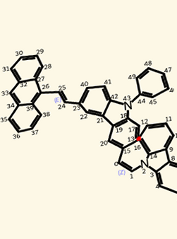 C(=C/n1c2ccccc2c2ccccc21)/c1ccc2c(c1)c1cc(/C=C/c3c4ccccc4cc4ccccc34)ccc1n2-c1ccccc1